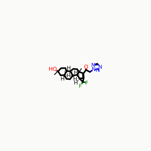 C[C@@]1(O)CC[C@H]2[C@H](CC[C@@H]3[C@@H]2CC[C@]2(C)C(C(=O)Cn4ncnn4)=C4[C@H]([C@@H]32)C4(F)F)C1